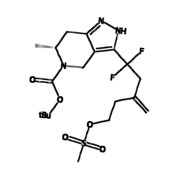 C=C(CCOS(C)(=O)=O)CC(F)(F)c1[nH]nc2c1CN(C(=O)OC(C)(C)C)[C@H](C)C2